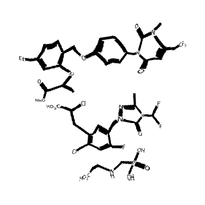 CCc1ccc(COc2ccc(-n3c(=O)cc(C(F)(F)F)n(C)c3=O)cc2)c(OC(C)C(=O)OC)c1.Cc1nn(-c2cc(CC(Cl)C(=O)O)c(Cl)cc2F)c(=O)n1C(F)F.O=C(O)CNCP(=O)(O)O